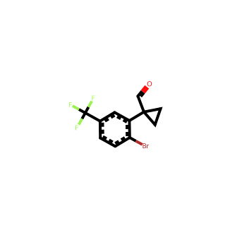 O=CC1(c2cc(C(F)(F)F)ccc2Br)CC1